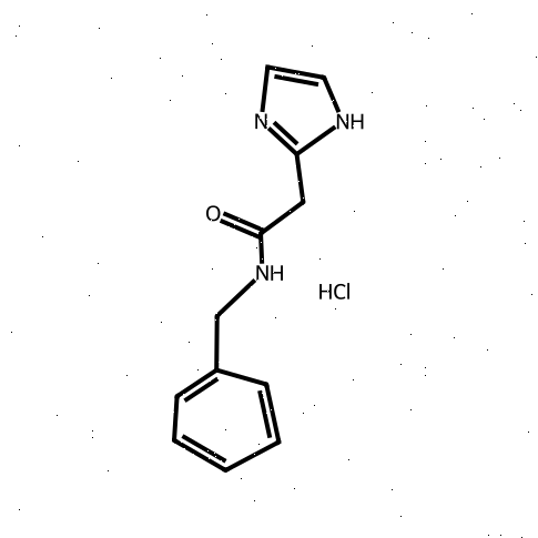 Cl.O=C(Cc1ncc[nH]1)NCc1ccccc1